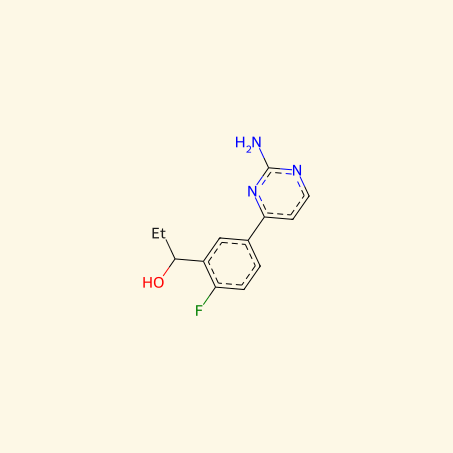 CCC(O)c1cc(-c2ccnc(N)n2)ccc1F